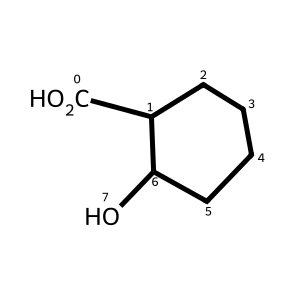 O=C(O)C1CCCCC1O